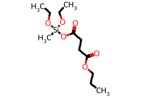 CCCOC(=O)CCC(=O)O[Si](C)(OCC)OCC